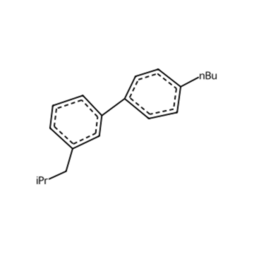 CCCCc1ccc(-c2cccc(CC(C)C)c2)cc1